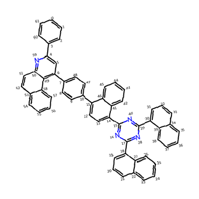 c1ccc(-c2cc(-c3ccc(-c4ccc(-c5nc(-c6cccc7ccccc67)nc(-c6cccc7ccccc67)n5)c5ccccc45)cc3)c3c(ccc4ccccc43)n2)cc1